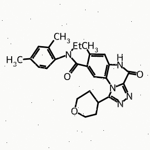 CCN(C(=O)c1cc2c(cc1C)[nH]c(=O)c1nnc(C3CCOCC3)n12)c1ccc(C)cc1C